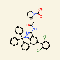 O=C(C[C@@H]1CCCN1C(=O)O)Nc1nn(C(c2ccccc2)(c2ccccc2)c2ccccc2)c2ccc(-c3c(Cl)cccc3Cl)cc12